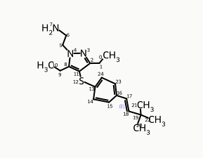 CCc1nn(CCN)c(CC)c1Sc1ccc(/C=C/C(C)(C)C)cc1